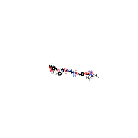 COc1ccc(CCO[C@H]2CCCCC2N2CC[C@@H](OC(=O)NCCCCNC(=O)OCCc3ccc(OCC(O)CNC(C)C)cc3)C2)cc1OC